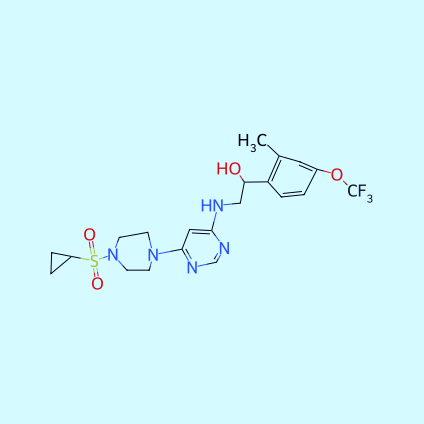 Cc1cc(OC(F)(F)F)ccc1C(O)CNc1cc(N2CCN(S(=O)(=O)C3CC3)CC2)ncn1